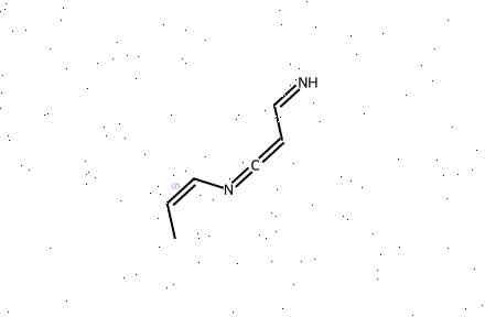 C/C=C\N=C=CC=N